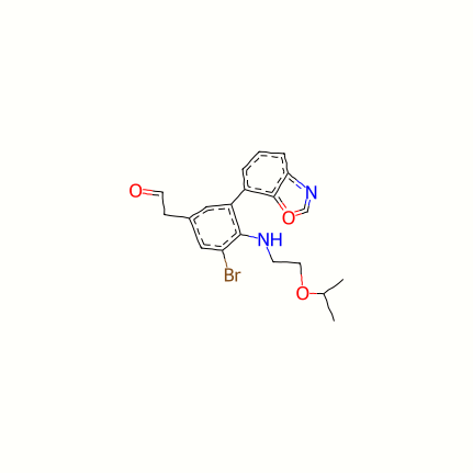 CC(C)OCCNc1c(Br)cc(CC=O)cc1-c1cccc2ncoc12